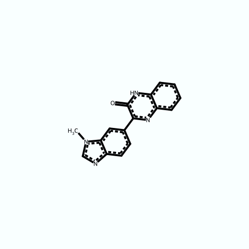 Cn1cnc2ccc(-c3nc4ccccc4[nH]c3=O)cc21